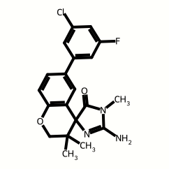 CN1C(=O)C2(N=C1N)c1cc(-c3cc(F)cc(Cl)c3)ccc1OCC2(C)C